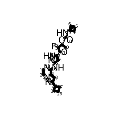 O=C(NC12CC(C1)C2)O[C@H]1CO[C@@H](c2cc(Nc3nccn4nc(C5CCC5)cc34)n[nH]2)[C@H]1F